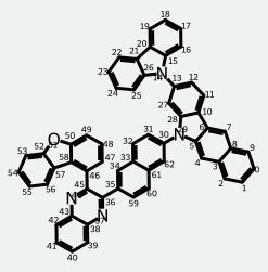 c1ccc2cc3c(cc2c1)c1ccc(-n2c4ccccc4c4ccccc42)cc1n3-c1ccc2cc(-c3nc4ccccc4nc3-c3cccc4oc5ccccc5c34)ccc2c1